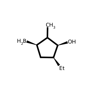 B[C@@H]1C[C@H](CC)[C@H](O)C1C